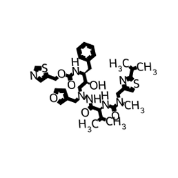 CC(C)c1nc(CN(C)C(=O)N[C@H](C(=O)NN(Cc2ccoc2)C[C@H](O)[C@H](Cc2ccccc2)NC(=O)OCc2cncs2)C(C)C)cs1